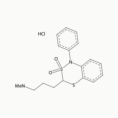 CNCCCC1Sc2ccccc2N(c2ccccc2)S1(=O)=O.Cl